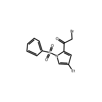 CCc1cc(C(=O)CBr)n(S(=O)(=O)c2ccccc2)c1